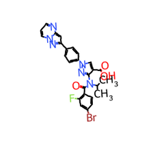 CC(C)N(C(=O)c1ccc(Br)cc1F)c1nn(-c2ccc(-c3cc4ncccn4n3)cc2)cc1C(=O)O